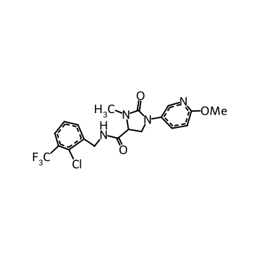 COc1ccc(N2CC(C(=O)NCc3cccc(C(F)(F)F)c3Cl)N(C)C2=O)cn1